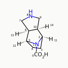 O=C(O)N1[C@@H]2CC[C@H]1[C@H]1CNC[C@H]12